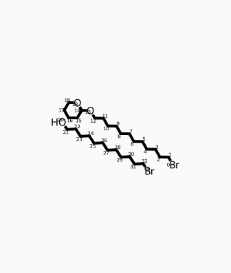 BrCCCCCCCCCCCCOC1CCCCO1.OCCCCCCCCCCCCBr